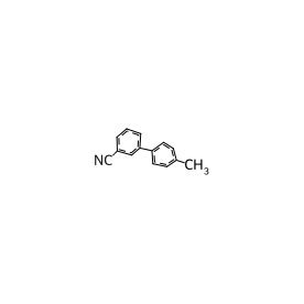 Cc1ccc(-c2cccc(C#N)c2)cc1